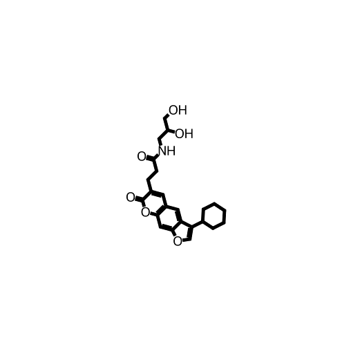 O=C(CCc1cc2cc3c(C4CCCCC4)coc3cc2oc1=O)NCC(O)CO